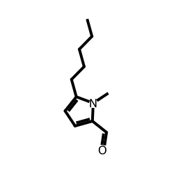 CCCCCc1ccc(C=O)n1C